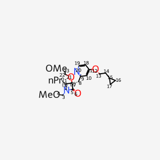 CCC[C@@H]1N(COC)C(=O)[C@]1(Cc1cc(OCCC2CC2)ccn1)OCOC